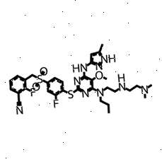 CCCN(CCNCCN(C)C)c1nc(Sc2ccc(S(=O)(=O)Cc3cccc(C#N)c3F)cc2F)nc(Nc2cc(C)[nH]n2)c1OC